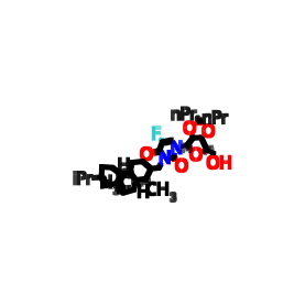 CCCC1(CCC)OC2C(O1)[C@@H](CO)O[C@H]2n1cc(F)c(=O)n(CC2CC[C@]3(C)[C@H]4CCC(C(C)C)=CC4=CC[C@H]3[C@H]2C)c1=O